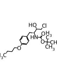 CCCCOc1ccc(C[C@H](NC(=O)OC(C)(C)C)[C@@H](O)CCl)cc1